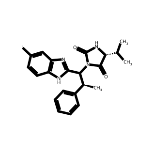 CC(C)[C@H]1NC(=O)N(C(c2nc3cc(I)ccc3[nH]2)[C@@H](C)c2ccccc2)C1=O